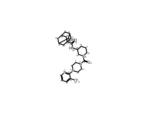 O=C(N1CCN(c2ncccc2C(F)(F)F)CC1)N1CCCC(NC(=O)C23CC4CC(C2)C(O)C(C4)C3)C1